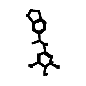 [2H]C1=NC(NC(C)c2ccc3c(c2)OCC3)=N[C@@H]([2H])N1C(C)C